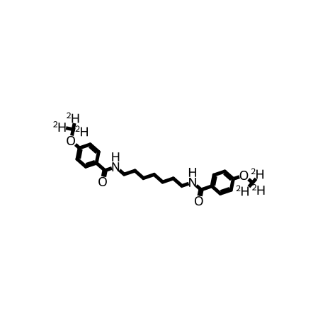 [2H]C([2H])([2H])Oc1ccc(C(=O)NCCCCCCCNC(=O)c2ccc(OC([2H])([2H])[2H])cc2)cc1